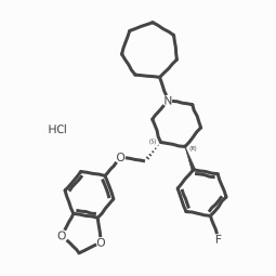 Cl.Fc1ccc([C@@H]2CCN(C3CCCCCC3)C[C@H]2COc2ccc3c(c2)OCO3)cc1